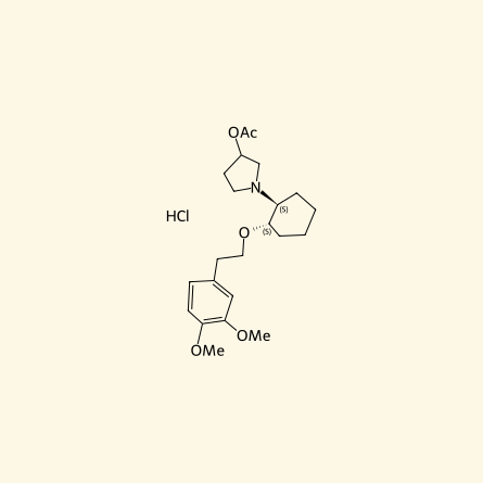 COc1ccc(CCO[C@H]2CCCC[C@@H]2N2CCC(OC(C)=O)C2)cc1OC.Cl